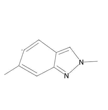 Cc1[c]cc2cn(C)nc2c1